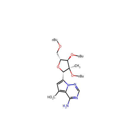 CCCCOC[C@H]1O[C@@H](c2cc(C(=O)O)c3c(N)ncnn23)[C@](C)(OCCCC)[C@@H]1OCCCC